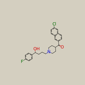 O=C(c1ccc2cc(Cl)ccc2c1)C1CCN(CCCC(O)c2ccc(F)cc2)CC1